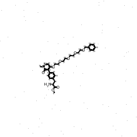 COC(=O)[C@@H](N)Cc1ccc(-c2c(OCCOCCOCCOCCOCc3ccccc3)cnn(C)c2=O)cc1